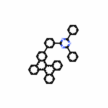 c1ccc(-c2nc(-c3ccccc3)nc(-c3cccc(-c4ccc5c6ccccc6c6c7ccccc7c7ccccc7c6c5c4)c3)n2)cc1